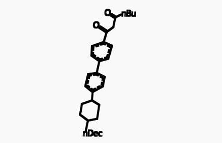 CCCCCCCCCCC1CCC(c2ccc(-c3ccc(C(=O)CC(=O)CCCC)cc3)cc2)CC1